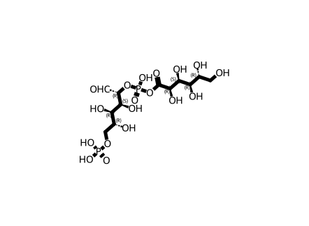 O=C[C@H](OP(=O)(O)OC(=O)[C@H](O)[C@@H](O)[C@H](O)[C@H](O)CO)[C@@H](O)[C@H](O)[C@H](O)COP(=O)(O)O